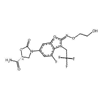 NC(=O)[C@H]1CN(c2cc(F)c3c(c2)oc(=NOCCO)n3CC(F)(F)F)C(=O)O1